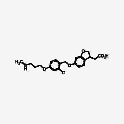 CBCCCOc1ccc(COc2ccc3c(c2)OCC3CC(=O)O)c(Cl)c1